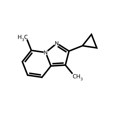 Cc1c(C2CC2)nn2c(C)cccc12